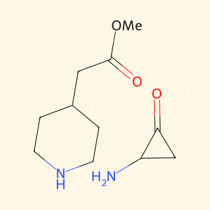 COC(=O)CC1CCNCC1.NC1CC1=O